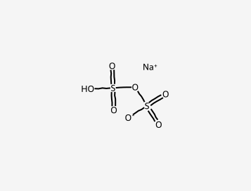 O=S(=O)([O-])OS(=O)(=O)O.[Na+]